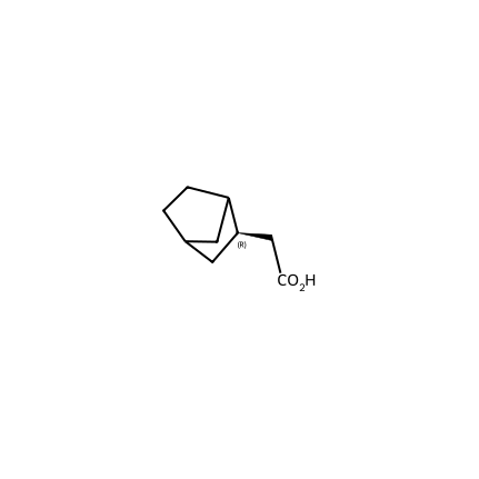 O=C(O)C[C@H]1CC2CCC1C2